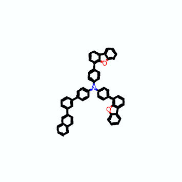 c1cc(-c2ccc(N(c3ccc(-c4cccc5c4oc4ccccc45)cc3)c3ccc(-c4cccc5c4oc4ccccc45)cc3)cc2)cc(-c2ccc3ccccc3c2)c1